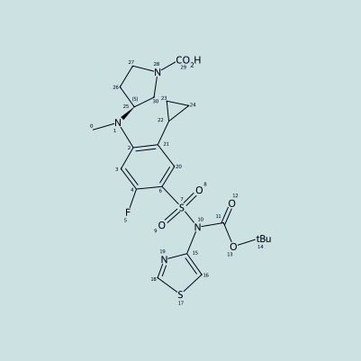 CN(c1cc(F)c(S(=O)(=O)N(C(=O)OC(C)(C)C)c2cscn2)cc1C1CC1)[C@H]1CCN(C(=O)O)C1